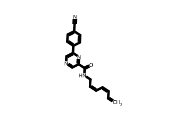 C=C/C=C\C=C/CNC(=O)c1cncc(-c2ccc(C#N)cc2)n1